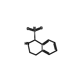 O=[SH](=O)C1NCCc2ccccc21